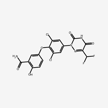 NC(=O)c1cc(Oc2c(Cl)cc(-n3nc(C(F)F)c(=O)[nH]c3=O)cc2Cl)ccc1O